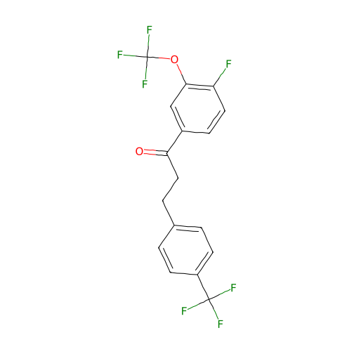 O=C(CCc1ccc(C(F)(F)F)cc1)c1ccc(F)c(OC(F)(F)F)c1